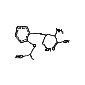 CC(O)Oc1ccccc1CC(CO)C(N)C(=O)O